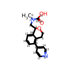 CN(CC1OCCc2c(-c3ccncc3)cccc21)C(=O)O